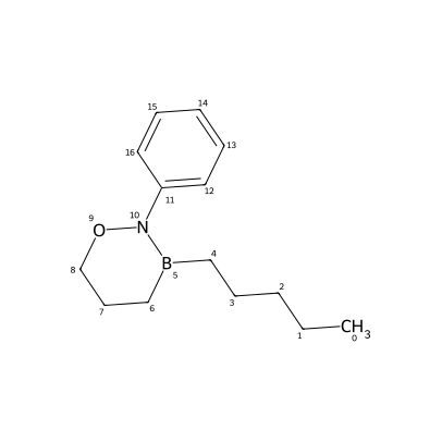 CCCCCB1CCCON1c1ccccc1